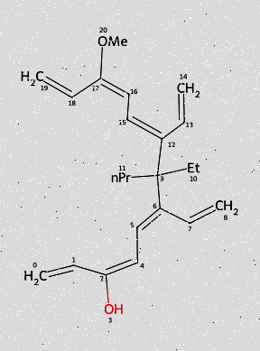 C=C/C(O)=C\C=C(/C=C)C(CC)(CCC)/C(C=C)=C/C=C(\C=C)OC